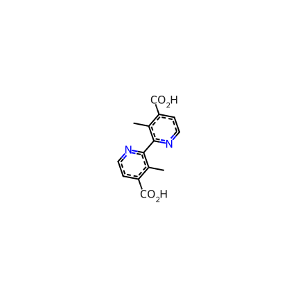 Cc1c(C(=O)O)ccnc1-c1nccc(C(=O)O)c1C